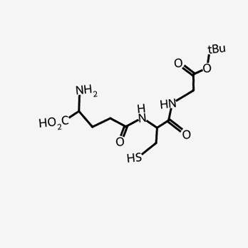 CC(C)(C)OC(=O)CNC(=O)C(CS)NC(=O)CCC(N)C(=O)O